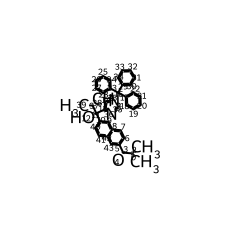 CC(C)C(=O)c1ccc2cc(C(O)(c3cn(C(c4ccccc4)(c4ccccc4)c4ccccc4)cn3)C(C)C)ccc2c1